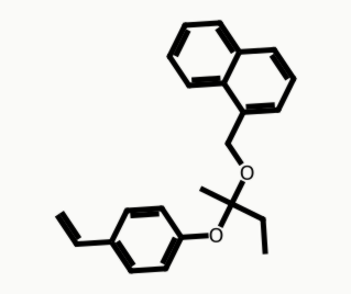 C=Cc1ccc(OC(C)(CC)OCc2cccc3ccccc23)cc1